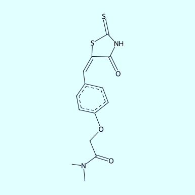 CN(C)C(=O)COc1ccc(C=C2SC(=S)NC2=O)cc1